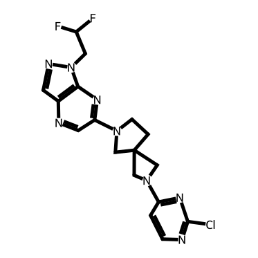 FC(F)Cn1ncc2ncc(N3CCC4(CN(c5ccnc(Cl)n5)C4)C3)nc21